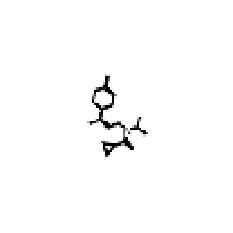 C=C(C1CC1)N(C/C=C(/C)C1CC=C(C)CC1)C(C)C